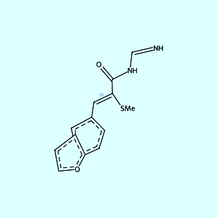 CS/C(=C\c1ccc2occc2c1)C(=O)NC=N